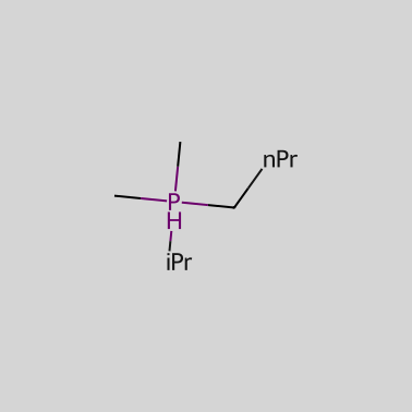 CCCC[PH](C)(C)C(C)C